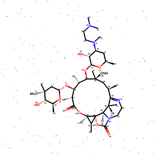 CO[C@]1(C)C[C@H](O[C@H]2[C@H](C)[C@@H](O[C@@H]3O[C@H](C)C[C@H](N(C)CCN(C)C)[C@H]3O)[C@@](C)(OC)C[C@@H](C)C3=NCCN4C(=O)O[C@@]5(C(C)[C@H]5OC(=O)[C@@H]2C)[C@H]4[C@H]3C)O[C@@H](C)[C@@H]1O